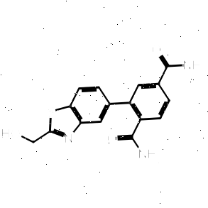 NC(=O)c1ccc(C(N)=O)c(-c2ccc3sc(CO)nc3c2)c1